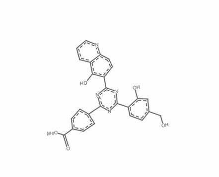 COC(=O)c1ccc(-c2nc(-c3ccc(CO)cc3O)nc(-c3ccc4ncccc4c3O)n2)cc1